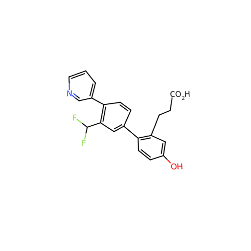 O=C(O)CCc1cc(O)ccc1-c1ccc(-c2cccnc2)c(C(F)F)c1